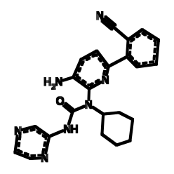 N#Cc1ccccc1-c1ccc(N)c(N(C(=O)Nc2cnccn2)C2CCCCC2)n1